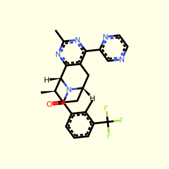 Cc1nc(-c2cnccn2)c2c(n1)[C@H]1[C@H](C)CC[C@@H](C2)N1C(=O)c1cccc(C(F)(F)F)c1C